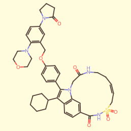 O=C1Cn2c(-c3ccc(OCc4cc(N5CCCC5=O)ccc4N4CCOCC4)cc3)c(C3CCCCC3)c3ccc(cc32)C(=O)NS(=O)(=O)C/C=C\CCN1